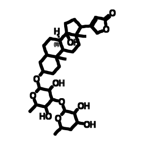 CC1CC(O)C(O)C(OC2C(O)C(C)OC(OC3CCC4(C)C(CC[C@@H]5C4CCC4(C)C(C6=CC(=O)OC6)CCC54O)C3)C2O)O1